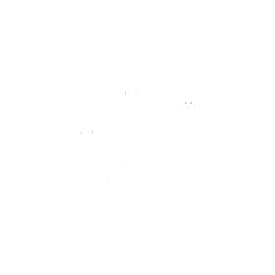 CCCCC1=C(CCCC)C(OC)=CCC1=O